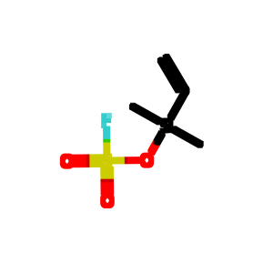 C=C[Si](C)(C)OS(=O)(=O)F